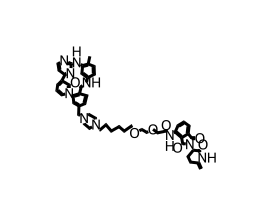 C=C1CCC(N2C(=O)c3cccc(NC(=O)COCCOCCCCCCN4CCN(Cc5ccc(C(=O)Nc6ccc(C)c(Nc7nccc(-c8cccnc8)n7)c6)cc5)CC4)c3C2=O)C(=O)N1